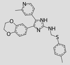 Cc1ccc(SCNc2nc(-c3ccc4c(c3)OCCO4)c(-c3ccnc(C)c3)[nH]2)cc1